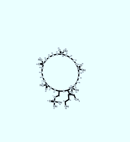 CCCC1CC(COP(=O)(O)O)COP(=O)(O)OCCOP(=O)(O)OCCOP(=O)(O)OCCOP(=O)(O)OCCO[PH]1(O)OCCCO